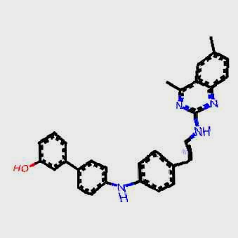 Cc1ccc2nc(N/C=C/c3ccc(Nc4ccc(-c5cccc(O)c5)cc4)cc3)nc(C)c2c1